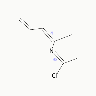 C=C/C=C(C)\N=C(/C)Cl